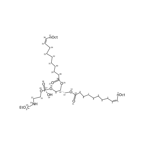 CCCCCCCC/C=C\CCCCCCCC(=O)OC[C@H](COP(=O)(O)OCCNC(=O)OCC)OC(=O)CCCCCCC/C=C\CCCCCCCC